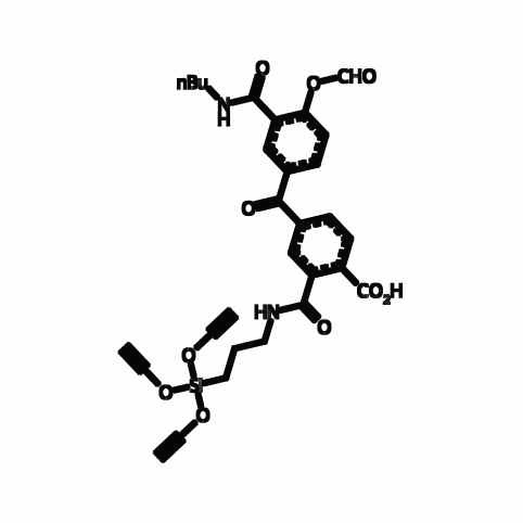 C#CO[Si](CCCNC(=O)c1cc(C(=O)c2ccc(OC=O)c(C(=O)NCCCC)c2)ccc1C(=O)O)(OC#C)OC#C